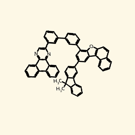 CC1(C)c2ccccc2-c2cc(-c3cc(-c4cccc(-c5cccc(-c6cnc7c8ccccc8c8ccccc8c7n6)c5)c4)c4oc5ccc6ccccc6c5c4c3)ccc21